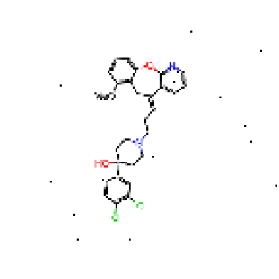 COc1cccc2c1CC(=CCCN1CCC(O)(c3ccc(Cl)c(Cl)c3)CC1)c1cccnc1O2